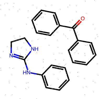 O=C(c1ccccc1)c1ccccc1.c1ccc(NC2=NCCN2)cc1